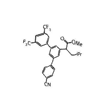 COC(=O)C(CC(C)C)c1cc(-c2ccc(C#N)cc2)cc(-c2cc(C(F)(F)F)cc(C(F)(F)F)c2)c1